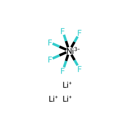 [F][Ni-3]([F])([F])([F])([F])[F].[Li+].[Li+].[Li+]